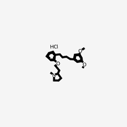 COc1cc(CCCCc2ccccc2OCCC2CCCN2C)cc(OC)c1.Cl